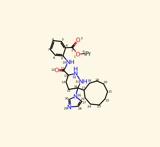 CC(C)OC(=O)c1ccccc1NC(=O)C1CCC(C2CCCCCCCC2)(n2ccnc2)NN1